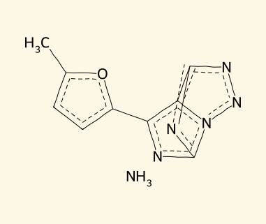 Cc1ccc(-c2nc3nc4nnn3c24)o1.N